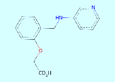 O=C(O)COc1ccccc1CNc1cccnc1